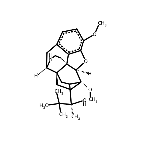 COc1ccc2c3c1O[C@@H]1[C@]34CCN[C@H](C2)[C@]42CC[C@@]1(OC)C([C@@](C)(O)C(C)(C)C)C2